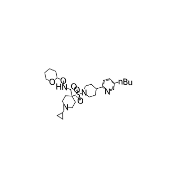 CCCCc1ccc(C2CCN(S(=O)(=O)C3(C(=O)NOC4CCCCO4)CCN(C4CC4)CC3)CC2)nc1